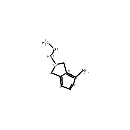 COBN1Cc2cccc(N)c2C1